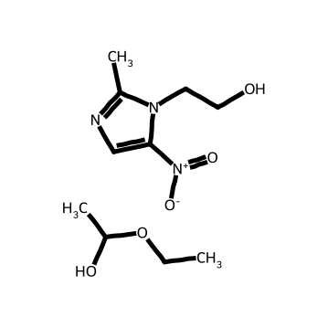 CCOC(C)O.Cc1ncc([N+](=O)[O-])n1CCO